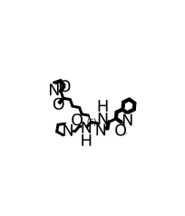 COc1nc2ccccc2cc1-c1cnc([C@H](CCCCCC(=O)c2ncco2)NC(=O)CN2CCCC2)[nH]1